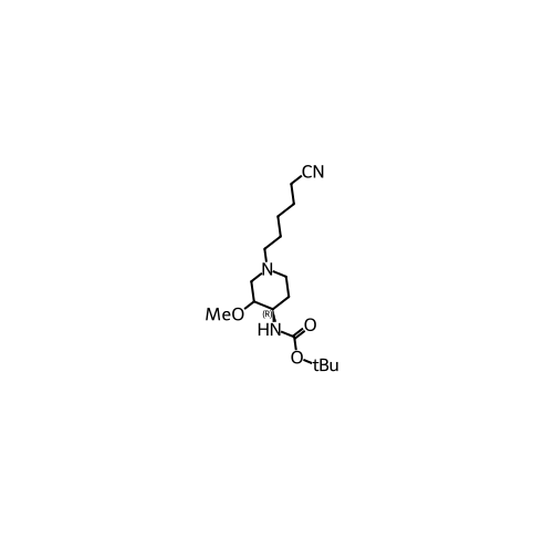 COC1CN(CCCCCC#N)CC[C@H]1NC(=O)OC(C)(C)C